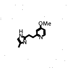 COc1ccnc(CCc2nc(C)c[nH]2)c1